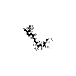 CCNC(=O)[C@H](C)NC(=O)[C@H](C)NC(=O)CCNC(=O)c1ccc(C#N)c(S(C)(=O)=O)n1